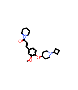 COc1cc(/C=C/C(=O)N2CCCCC2)ccc1OC1CCN(C2CCC2)CC1